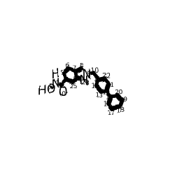 O=C(NO)c1ccc2cn(Cc3ccc(-c4ccccc4)cc3)nc2c1